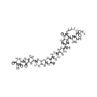 C[C@@]1(O)CC/C=C\Cn2c(=O)c3cnc(Nc4ccc(N5CCN([C@H]6CCN(CC7CCN(c8ccc9c(c8)C(=O)N(C8CCC(=O)NC8=O)C9)CC7)C[C@H]6F)CC5)cc4)nc3n2-c2cccc1n2